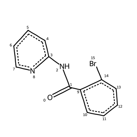 O=C(Nc1ccccn1)c1ccccc1Br